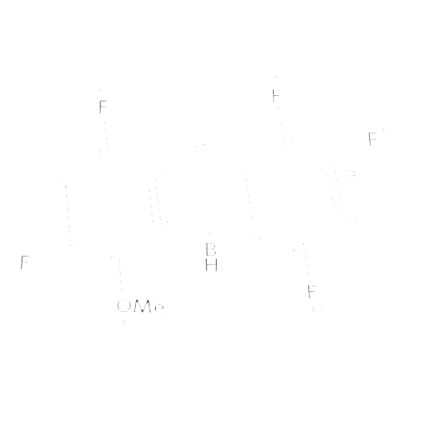 COc1c(F)cc(F)cc1Bc1c(F)cc(F)c(F)c1C